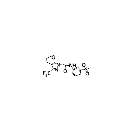 CS(=O)(=O)c1cccc(NC(=O)Cn2nc(C(F)(F)F)c3c2OCCC3)c1